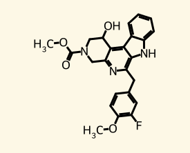 COC(=O)N1Cc2nc(Cc3ccc(OC)c(F)c3)c3[nH]c4ccccc4c3c2C(O)C1